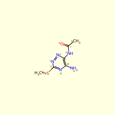 CSc1nnc(NC(C)=O)c(N)n1